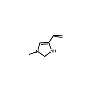 C=CC1=CN(C)CN1